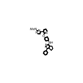 CNc1nccc(-c2cccnc2Oc2ccc(Nc3nnc(-c4ccccc4)c4c3CCC4)cc2)n1